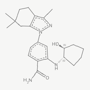 Cc1nn(-c2ccc(C(N)=O)c(N[C@H]3CCCC[C@@H]3O)c2)c2c1CCC(C)(C)C2